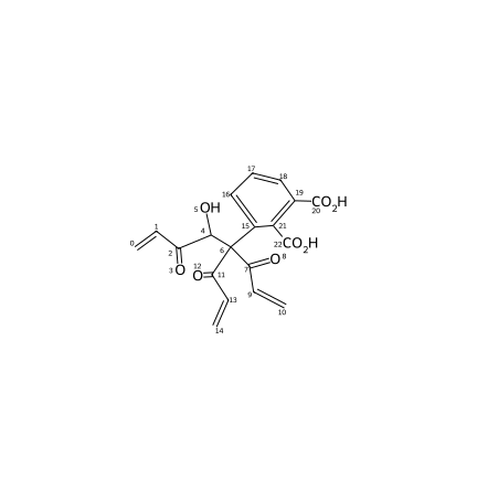 C=CC(=O)C(O)C(C(=O)C=C)(C(=O)C=C)c1cccc(C(=O)O)c1C(=O)O